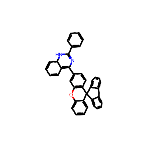 C1=CC2=C(c3ccc4c(c3)Oc3ccccc3C43c4ccccc4-c4ccccc43)N=C(c3ccccc3)NC2C=C1